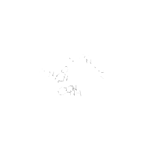 C=CC(=O)N1CCN(C(=O)C2CCN(Cc3cc4nc(-c5cccc6[nH]ncc56)nc(N5CCOCC5)c4s3)CC2)CC1